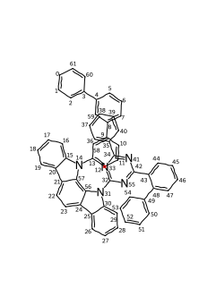 c1ccc(-c2cccc(-c3cccc(-n4c5ccccc5c5ccc6c7ccccc7n(-c7nc(-c8ccccc8)nc(-c8ccccc8-c8ccccc8)n7)c6c54)c3)c2)cc1